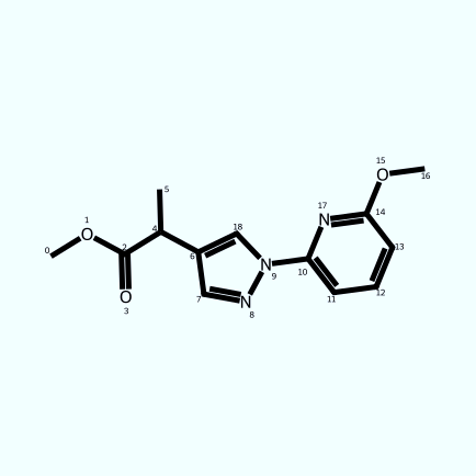 COC(=O)C(C)c1cnn(-c2cccc(OC)n2)c1